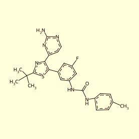 Cc1ccc(NC(=O)Nc2cc(F)cc(-c3sc(C(C)(C)C)nc3-c3ccnc(N)n3)c2)cc1